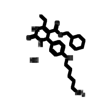 CCC1=C(C(=O)OCC2CCCCC2)C(c2ccc(NCCCCCN)cc2)NC(=O)N1.Cl